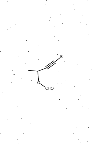 CC(C#CBr)O[C]=O